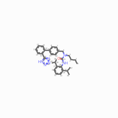 CCCCN(Cc1ccc(-c2ccccc2-c2nnn[nH]2)cc1)C(=O)Nc1c(C(C)C)cccc1C(C)C